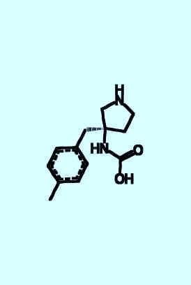 Cc1ccc(C[C@@]2(NC(=O)O)CCNC2)cc1